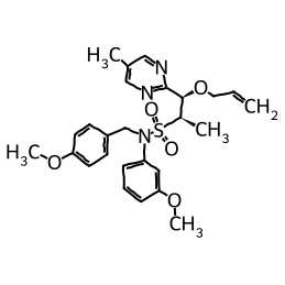 C=CCO[C@H](c1ncc(C)cn1)[C@@H](C)S(=O)(=O)N(Cc1ccc(OC)cc1)c1cccc(OC)c1